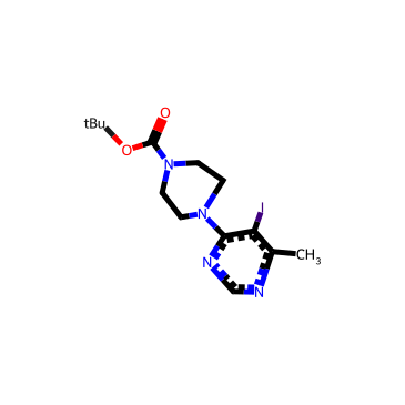 Cc1ncnc(N2CCN(C(=O)OC(C)(C)C)CC2)c1I